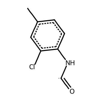 Cc1ccc(N[C]=O)c(Cl)c1